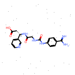 N=C(N)c1ccc(NC(=O)NCC(=O)N[C@@H](CC(=O)O)c2cccnc2)cc1